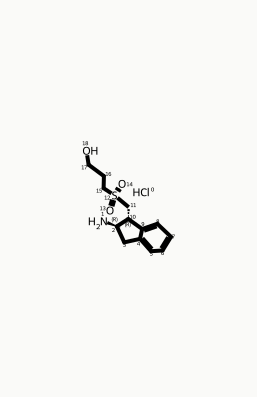 Cl.N[C@@H]1Cc2ccccc2[C@H]1CS(=O)(=O)CCCO